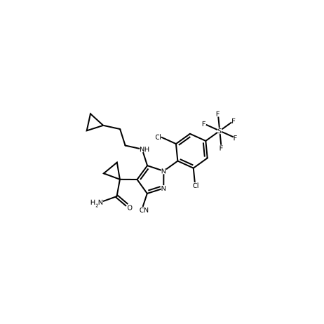 N#Cc1nn(-c2c(Cl)cc(S(F)(F)(F)(F)F)cc2Cl)c(NCCC2CC2)c1C1(C(N)=O)CC1